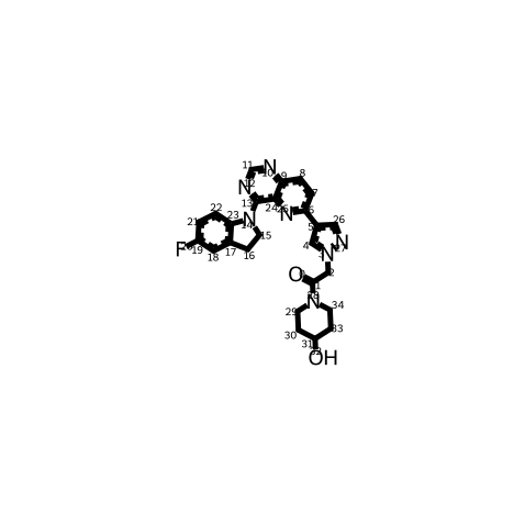 O=C(Cn1cc(-c2ccc3ncnc(N4CCc5cc(F)ccc54)c3n2)cn1)N1CCC(O)CC1